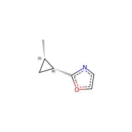 C[C@H]1C[C@H]1c1ncco1